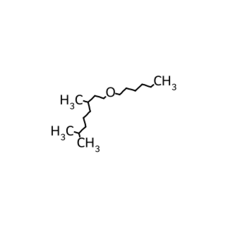 CCCCCCOCCC(C)CCCC(C)C